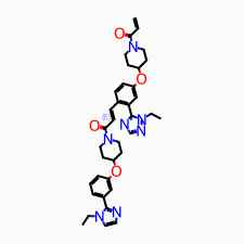 C=CC(=O)N1CCC(Oc2ccc(/C=C/C(=O)N3CCC(Oc4cccc(-c5nccn5CC)c4)CC3)c(-c3ncnn3CC)c2)CC1